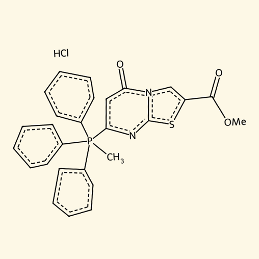 COC(=O)c1cn2c(=O)cc(P(C)(c3ccccc3)(c3ccccc3)c3ccccc3)nc2s1.Cl